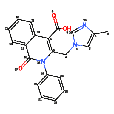 Cc1cn(Cc2c(C(=O)O)c3ccccc3c(=O)n2-c2ccccc2)cn1